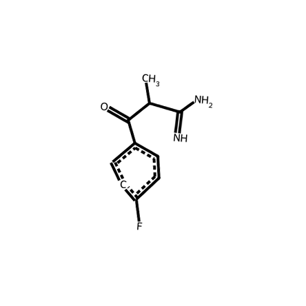 CC(C(=N)N)C(=O)c1ccc(F)cc1